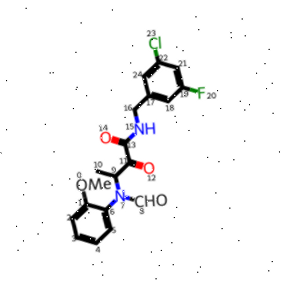 COc1ccccc1N(C=O)C(C)C(=O)C(=O)NCc1cc(F)cc(Cl)c1